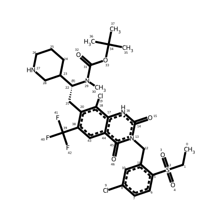 CCS(=O)(=O)c1ccc(Cl)cc1Cn1c(=O)[nH]c2c(Cl)c(C[C@H](C3CCCNC3)N(C)C(=O)OC(C)(C)C)c(C(F)(F)F)cc2c1=O